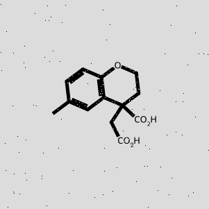 Cc1ccc2c(c1)C(CC(=O)O)(C(=O)O)CCO2